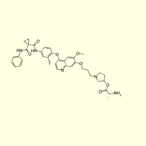 COc1cc2c(Oc3ccc(NC(=O)C4(C(=O)Nc5ccccc5)CC4)cc3F)ccnc2cc1OCCCN1CCC(OC(=O)[C@@H](C)N)C1